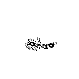 CNC(=O)c1cc(Cl)c(OC(C)(C)C)cc1OC[C@@H](O)CN1CCC2(CC1)Cc1cc(Cl)ccc1O2